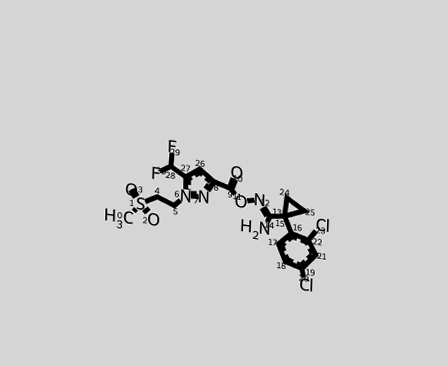 CS(=O)(=O)CCn1nc(C(=O)O/N=C(\N)C2(c3ccc(Cl)cc3Cl)CC2)cc1C(F)F